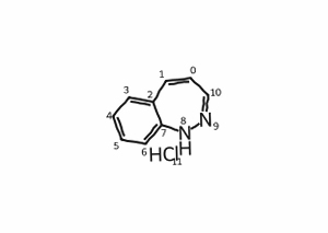 C1=Cc2ccccc2NN=C1.Cl